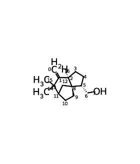 C=C1[C@H]2CC[C@H](CO)[C@@]23CCC(C3)C1(C)C